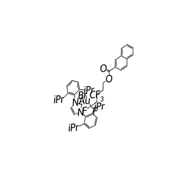 CC(C)c1cccc(C(C)C)c1-n1ccn(-c2c(C(C)C)cccc2C(C)C)[c]1=[Au]([Br])([C](F)(F)F)[C](F)(F)CCCCOC(=O)c1ccc2ccccc2c1